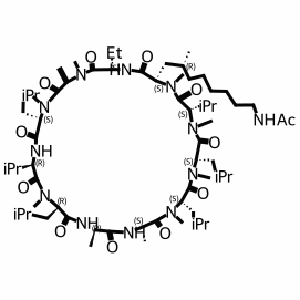 C=C1C(=O)N(C)[C@@H](CC(C)C)C(=O)N[C@H](C(C)C)C(=O)N(C)[C@H](CC(C)C)C(=O)N[C@H](C)C(=O)N[C@@H](C)C(=O)N(C)[C@@H](CC(C)C)C(=O)N(C)[C@@H](CC(C)C)C(=O)N(C)[C@@H](C(C)C)C(=O)N(C)[C@@H](C[C@H](C)CCCCCCNC(C)=O)C(=O)N[C@@H](CC)C(=O)N1C